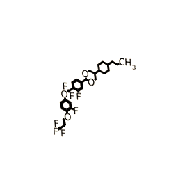 CCCC1CCC(C2COC(c3ccc(C(F)(F)Oc4ccc(O/C=C/C(F)(F)F)c(F)c4)c(F)c3)OC2)CC1